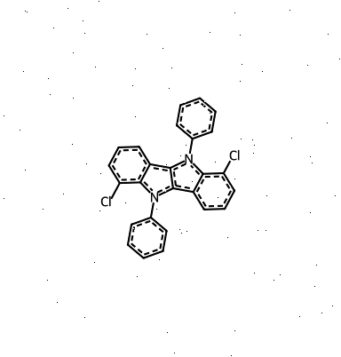 Clc1cccc2c1n(-c1ccccc1)c1c3cccc(Cl)c3n(-c3ccccc3)c21